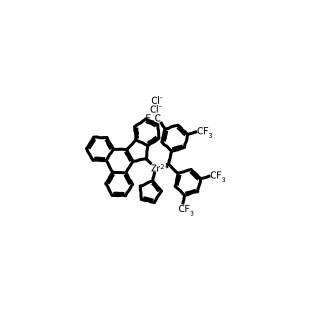 FC(F)(F)c1cc([C](c2cc(C(F)(F)F)cc(C(F)(F)F)c2)=[Zr+2]([C]2=CC=CC2)[CH]2c3ccccc3-c3c2c2ccccc2c2ccccc32)cc(C(F)(F)F)c1.[Cl-].[Cl-]